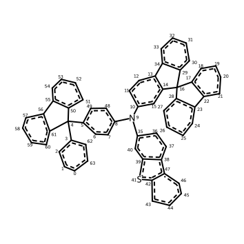 c1ccc(C2(c3ccc(N(c4ccc5c(c4)C4(c6ccccc6-c6ccccc64)c4ccccc4-5)c4ccc5c(c4)sc4ccccc45)cc3)c3ccccc3-c3ccccc32)cc1